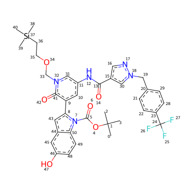 CC(C)(C)OC(=O)n1c(-c2cc(NC(=O)c3cnn(Cc4ccc(C(F)(F)F)cc4)c3)cn(COCC[Si](C)(C)C)c2=O)cc2cc(O)ccc21